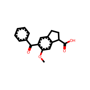 COc1cc2c(cc1C(=O)c1ccccc1)CCC2C(=O)O